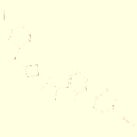 COc1cccc(C(=O)N2CC(S(=O)(=O)N3CCOc4c(-c5ccc(C#N)cc5)cncc43)C2)c1